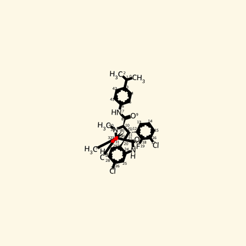 CC(C)c1ccc(NC(=O)[C@H]2[C@H](c3cccc(Cl)c3F)[C@]3(C(=O)Nc4cc(Cl)ccc43)C3(CCC(C)(C)CC3)N2C)cc1